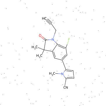 C#CCN1C(=O)C(C)(C)c2cc(-c3ccc(C#N)n3C)cc(F)c21